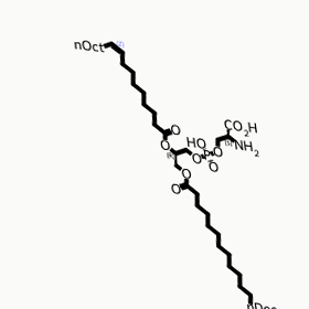 CCCCCCCC/C=C\CCCCCCCC(=O)O[C@H](COC(=O)CCCCCCCCCCCCCCCCCCCCC)COP(=O)(O)OC[C@H](N)C(=O)O